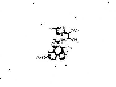 COc1cccc(-c2nnc(NSC(C)C(OC)c3ncc(Cl)cn3)n2[C@@H](C)c2cncs2)n1